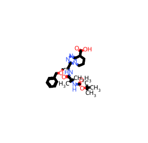 CC(C)(C)OC(=O)NC(C)(C)C(=O)N[C@H](COCc1ccccc1)c1nnc2n1CCCC2C(=O)O